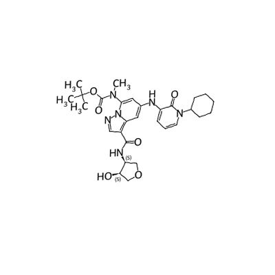 CN(C(=O)OC(C)(C)C)c1cc(Nc2cccn(C3CCCCC3)c2=O)cc2c(C(=O)N[C@H]3COC[C@H]3O)cnn12